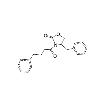 O=C(CCCc1ccccc1)N1C(=O)OCC1Cc1ccccc1